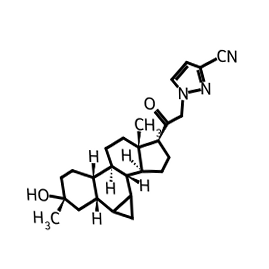 C[C@@]1(O)CC[C@@H]2[C@H]3CC[C@]4(C)[C@@H](C(=O)Cn5ccc(C#N)n5)CC[C@H]4[C@@H]3C3CC3[C@@H]2C1